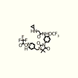 CC1(C)C(=O)N(c2ccc(OC(F)(F)F)c(NC(=O)CNC3CC3)c2)C(=O)N1Cc1ccncc1.O=C(O)C(F)(F)F